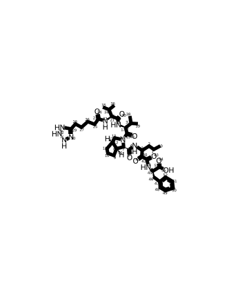 CCCC(NC(=O)[C@@H]1[C@H]2CCC[C@H]2CN1C(=O)[C@@H](NC(=O)[C@@H](NC(=O)CCCCC1=NNNN1)C(C)C)C(C)C)C(=O)C(=O)N[C@H](Cc1ccccc1)C(=O)O